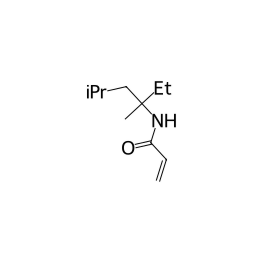 C=CC(=O)NC(C)(CC)CC(C)C